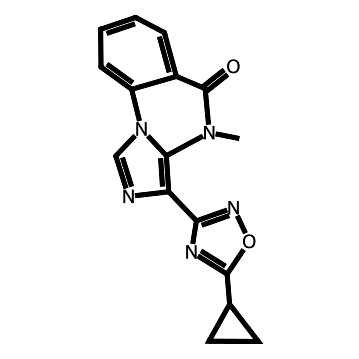 Cn1c(=O)c2ccccc2n2cnc(-c3noc(C4CC4)n3)c12